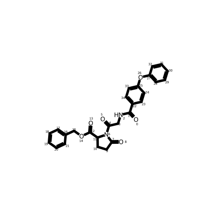 O=C(NCC(=O)N1C(=O)CCC1C(=O)OCc1ccccc1)c1ccc(Oc2ccccc2)cc1